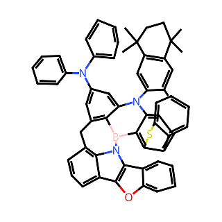 Cc1cc2c(cc1N1c3cc(N(c4ccccc4)c4ccccc4)cc4c3B(c3c1ccc1c3sc3ccccc31)n1c3c(cccc3c3oc5ccccc5c31)C4)C(C)(C)CCC2(C)C